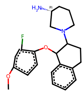 COc1ccc(OC2c3ccccc3CCC2N2CCC[C@@H](N)C2)c(F)c1